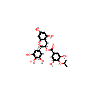 CC(C)Oc1c(O)cc(C(=O)O[C@@H]2Cc3c(O)cc(O)cc3O[C@@H]2c2cc(O)c(O)c(O)c2)cc1O